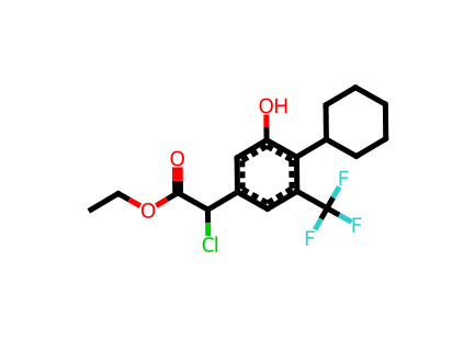 CCOC(=O)C(Cl)c1cc(O)c(C2CCCCC2)c(C(F)(F)F)c1